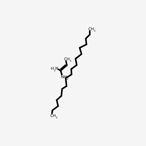 CC=C(N)N.CCCCCCCCCCCCCCCCCC